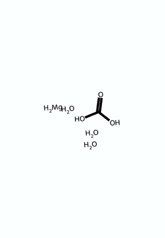 O.O.O.O=C(O)O.[MgH2]